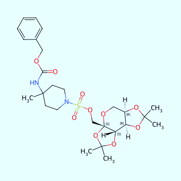 CC1(NC(=O)OCc2ccccc2)CCN(S(=O)(=O)OC[C@@]23OC[C@H]4OC(C)(C)O[C@H]4[C@@H]2OC(C)(C)O3)CC1